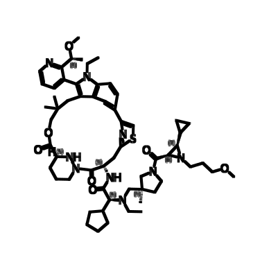 CCN(C[C@]1(C)CCN(C(=O)[C@H]2[C@@H](C3CC3)N2CCCOC)C1)[C@H](C(=O)N[C@H]1Cc2nc(cs2)-c2ccc3c(c2)c(c(-c2cccnc2[C@H](C)OC)n3CC)CC(C)(C)COC(=O)[C@@H]2CCCN(N2)C1=O)C1CCCC1